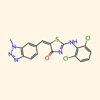 Cn1nnc2ccc(C=C3SC(Nc4c(Cl)cccc4Cl)=NC3=O)cc21